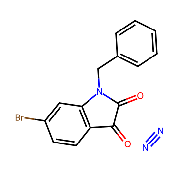 N#N.O=C1C(=O)N(Cc2ccccc2)c2cc(Br)ccc21